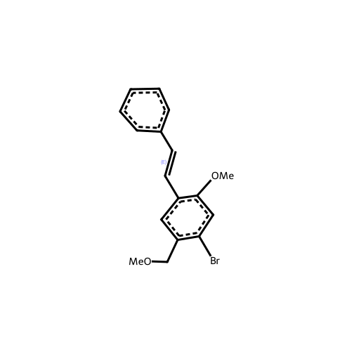 COCc1cc(/C=C/c2ccccc2)c(OC)cc1Br